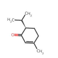 CC1=CC(=O)[C@@H](C(C)C)CC1